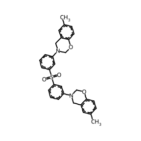 Cc1ccc2c(c1)CN(c1cccc(S(=O)(=O)c3cccc(N4COc5ccc(C)cc5C4)c3)c1)CO2